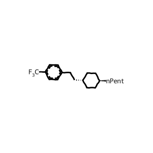 CCCCC[C@H]1CC[C@H](CCc2ccc(C(F)(F)F)cc2)CC1